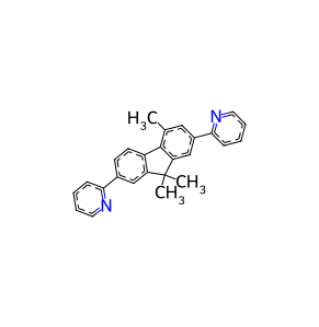 Cc1cc(-c2ccccn2)cc2c1-c1ccc(-c3ccccn3)cc1C2(C)C